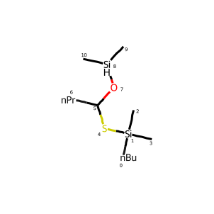 CCCC[Si](C)(C)SC(CCC)O[SiH](C)C